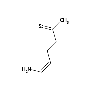 CC(=S)CC/C=C\N